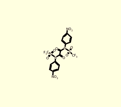 O=C(C(=O)N(c1ccc([N+](=O)[O-])cc1)S(=O)(=O)C(F)(F)F)N(c1ccc([N+](=O)[O-])cc1)S(=O)(=O)C(F)(F)F